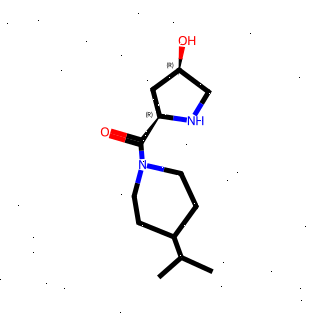 CC(C)C1CCN(C(=O)[C@H]2C[C@@H](O)CN2)CC1